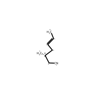 CC=CC[C@@H](C)CC#N